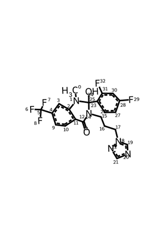 CN1c2cc(C(F)(F)F)ccc2C(=O)N(CCCn2cncn2)C1(O)c1ccc(F)cc1F